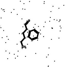 CCCCCC=O.[c]1ccccc1